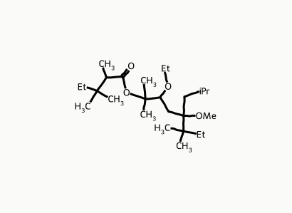 CCOC(CC(CC(C)C)(OC)C(C)(C)CC)C(C)(C)OC(=O)C(C)C(C)(C)CC